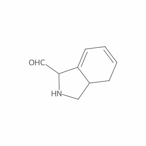 O=CC1NCC2CC=CC=C21